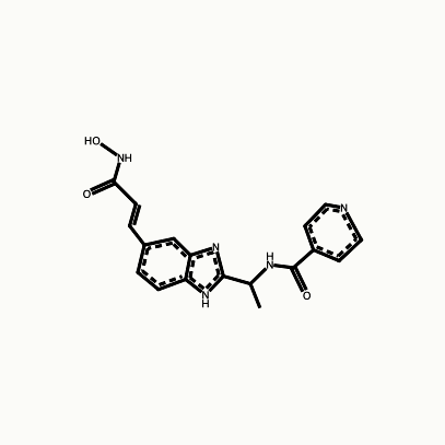 CC(NC(=O)c1ccncc1)c1nc2cc(C=CC(=O)NO)ccc2[nH]1